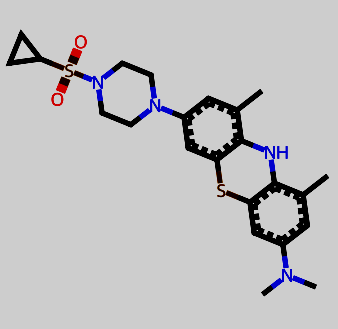 Cc1cc(N(C)C)cc2c1Nc1c(C)cc(N3CCN(S(=O)(=O)C4CC4)CC3)cc1S2